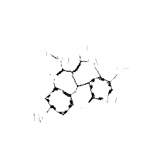 CC1=C2C(NC(C)C)=Nc3cc(C#N)ccc3C2c2c(c(C)c[nH]c2=O)N1